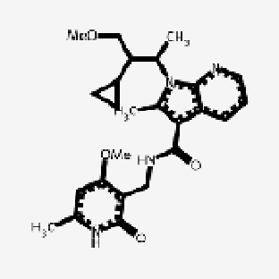 COCC(C1CC1)C(C)n1c(C)c(C(=O)NCc2c(OC)cc(C)[nH]c2=O)c2cccnc21